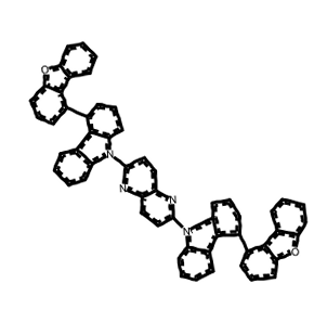 c1ccc2c(c1)oc1cccc(-c3cccc4c3c3ccccc3n4-c3ccc4nc(-n5c6ccccc6c6c(-c7cccc8oc9ccccc9c78)cccc65)ccc4n3)c12